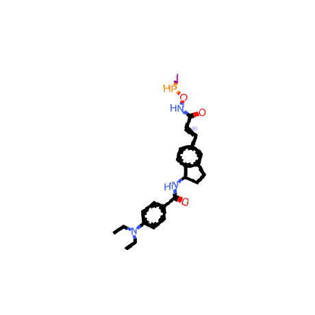 CCN(CC)c1ccc(C(=O)NC2CCc3cc(/C=C/C(=O)NOPI)ccc32)cc1